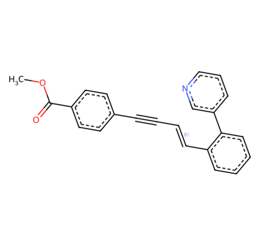 COC(=O)c1ccc(C#C/C=C/c2ccccc2-c2cccnc2)cc1